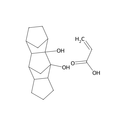 C=CC(=O)O.OC12CC(C3CCCC31)C1C3CCC(C3)C12O